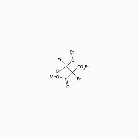 CCOC(=O)C(Br)(C(=O)OC)C(Br)(CC)OCC